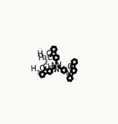 CC1(C)c2ccccc2-c2ccc(-c3nc(-c4ccc(-n5c6ccccc6c6ccc7c8ccccc8oc7c65)cc4)nc(-c4ccc5c(c4)C(C)(C)c4ccccc4-5)n3)cc21